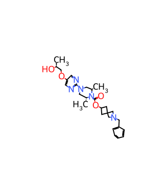 C[C@H](O)COc1cnc(N2C[C@@H](C)N(C(=O)OC3CC4(C3)CN(Cc3ccccc3)C4)[C@@H](C)C2)nc1